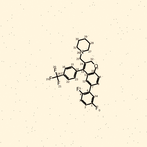 Fc1ccc(F)c(-c2ccc3c(c2)C(c2ccc(C(F)(F)F)cc2)=C(CN2CCCCC2)CO3)c1